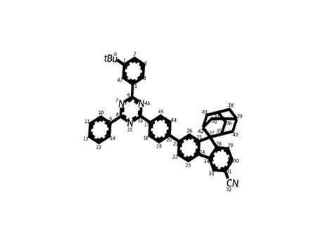 CC(C)(C)c1cccc(-c2nc(-c3ccccc3)nc(-c3ccc(-c4ccc5c(c4)C4(c6ccc(C#N)cc6-5)C5CC6CC(C5)CC4C6)cc3)n2)c1